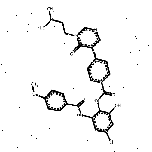 COc1ccc(C(=O)Nc2cc(Cl)cc(O)c2NC(=O)c2ccc(-c3cncn(CCN(C)C)c3=O)cc2)cc1